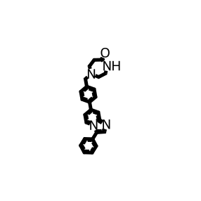 O=C1CCN(Cc2ccc(-c3ccn4c(-c5ccccc5)cnc4c3)cc2)CCN1